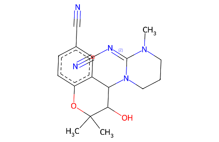 CN1CCCN(C2c3cc(C#N)ccc3OC(C)(C)C2O)/C1=N\C#N